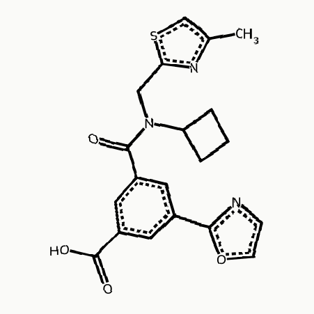 Cc1csc(CN(C(=O)c2cc(C(=O)O)cc(-c3ncco3)c2)C2CCC2)n1